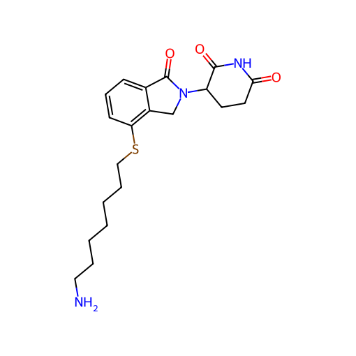 NCCCCCCCSc1cccc2c1CN(C1CCC(=O)NC1=O)C2=O